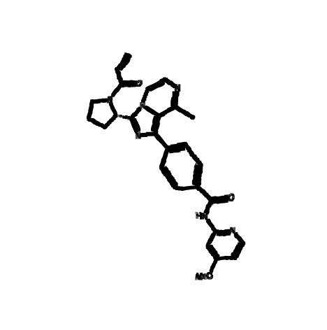 C=CC(=O)N1CCC[C@H]1c1nc(-c2ccc(C(=O)Nc3cc(OC)ccn3)cc2)c2c(C)nccn12